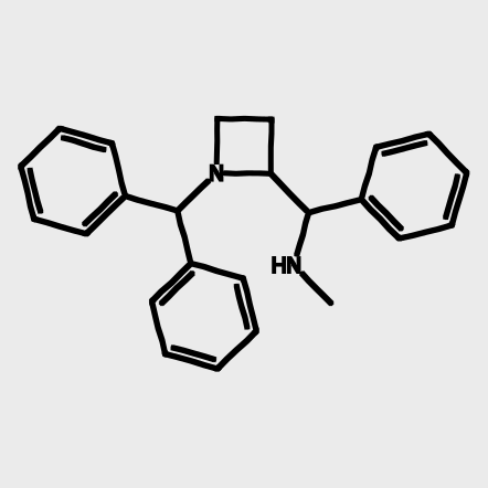 CNC(c1ccccc1)C1CCN1C(c1ccccc1)c1ccccc1